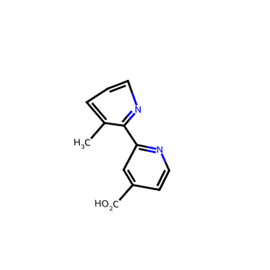 Cc1cccnc1-c1cc(C(=O)O)ccn1